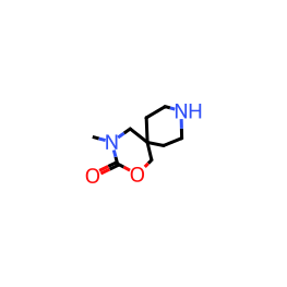 CN1CC2(CCNCC2)COC1=O